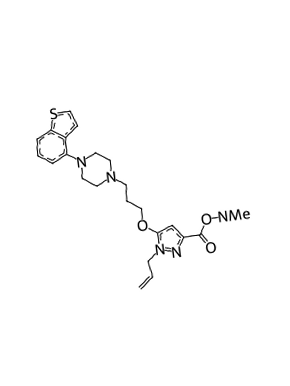 C=CCn1nc(C(=O)ONC)cc1OCCCN1CCN(c2cccc3sccc23)CC1